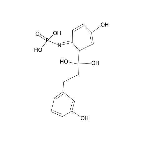 O=P(O)(O)/N=C1\C=CC(O)=CC1C(O)(O)CCc1cccc(O)c1